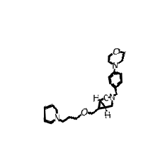 c1cc(N2CCOCC2)ccc1CN1C[C@@H]2C(COCCCN3CCCCC3)[C@@H]2C1